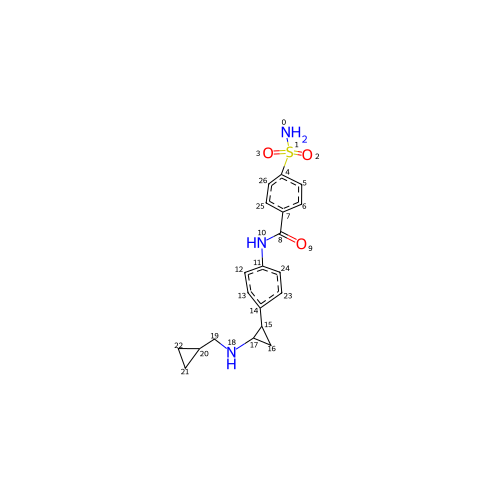 NS(=O)(=O)c1ccc(C(=O)Nc2ccc(C3CC3NCC3CC3)cc2)cc1